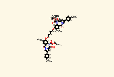 COc1ccc(C2=CN3C(=O)c4cc(OC)c(OCCCCCOc5cc6c(cc5OC)C(=O)N5C=C(c7ccc(C=O)cc7)C[C@H]5[C@H](O[Si](C)(C)C(C)(C)C)N6C(=O)OCC(Cl)(Cl)Cl)cc4N(C(=O)OCC(Cl)(Cl)Cl)[C@@H](O)[C@@H]3C2)cc1